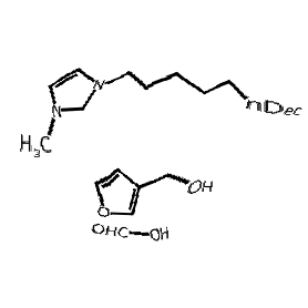 CCCCCCCCCCCCCCCN1C=CN(C)C1.O=CO.OCc1ccoc1